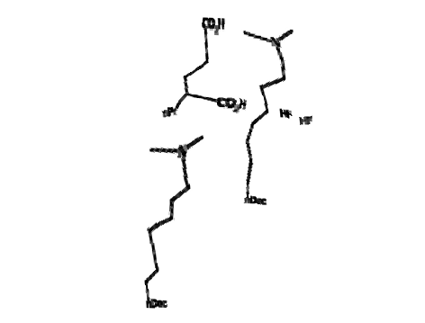 CCCC(CCC(=O)O)C(=O)O.CCCCCCCCCCCCCCCCN(C)C.CCCCCCCCCCCCCCCCN(C)C.F.F